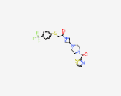 O=C(CSc1ccc(C(F)(F)F)cc1)N1CC(N2CCN(C(=O)c3nccs3)CC2)C1